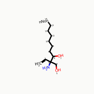 C=CC(N)(CO)C(O)CCCCCCCCCCCCCCC